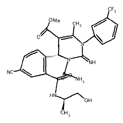 COC(=O)C1=C(C)N(c2cccc(C(F)(F)F)c2)C(=N)N(C(N)=O)[C@@H]1c1ccc(C#N)cc1C(=O)N[C@H](C)CO